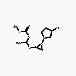 CC(OC(=O)OC(C)(C)C)On1on1N1CCC(C(=O)O)C1